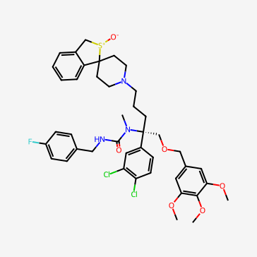 COc1cc(COC[C@](CCCN2CCC3(CC2)c2ccccc2C[S+]3[O-])(c2ccc(Cl)c(Cl)c2)N(C)C(=O)NCc2ccc(F)cc2)cc(OC)c1OC